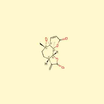 C=C1C(=O)O[C@@H]2[C@H]1CC[C@]1(C)O[C@@]13C=CC(=O)O[C@@]23C